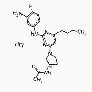 CCCCc1cc(N2CC[C@H](NC(C)=O)C2)nc(Nc2ccc(F)c(N)c2)n1.Cl